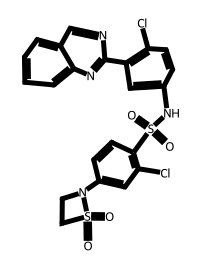 O=S(=O)(Nc1ccc(Cl)c(-c2ncc3ccccc3n2)c1)c1ccc(N2CCS2(=O)=O)cc1Cl